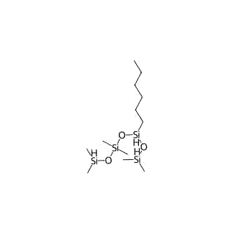 CCCCCC[SiH](O[SiH](C)C)O[Si](C)(C)O[SiH](C)C